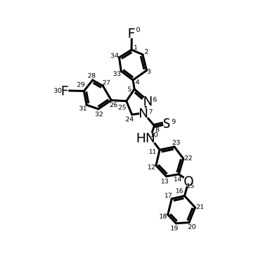 Fc1ccc(C2=NN(C(=S)Nc3ccc(Oc4ccccc4)cc3)CC2c2ccc(F)cc2)cc1